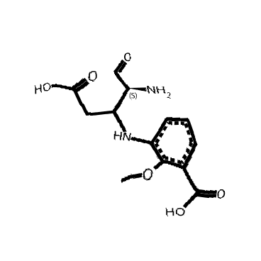 COc1c(NC(CC(=O)O)[C@H](N)C=O)cccc1C(=O)O